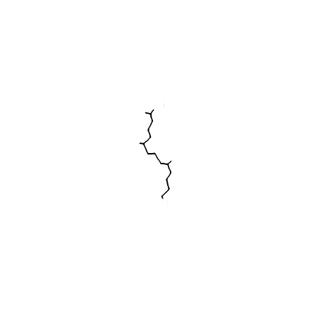 [CH2]CCCCC(C)CCCC(C)CCCC(C)C